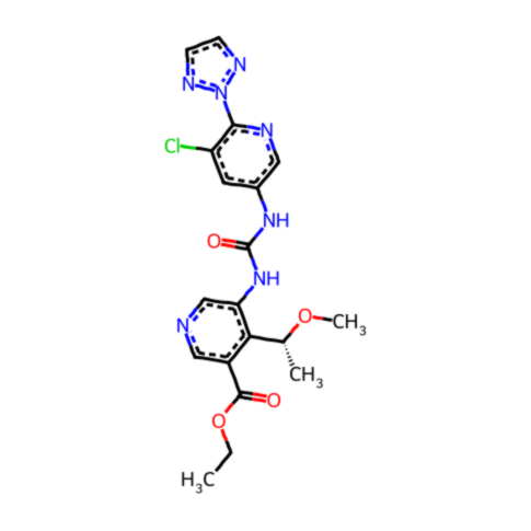 CCOC(=O)c1cncc(NC(=O)Nc2cnc(-n3nccn3)c(Cl)c2)c1[C@@H](C)OC